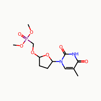 COP(=O)(COC1CCC(n2cc(C)c(=O)[nH]c2=O)O1)OC